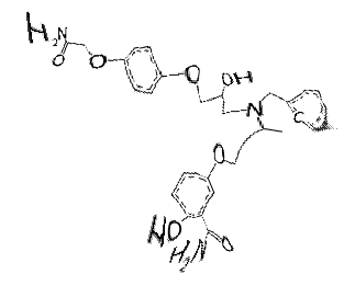 CC(COc1ccc(O)c(C(N)=O)c1)N(Cc1ccccc1)CC(O)COc1ccc(OCC(N)=O)cc1